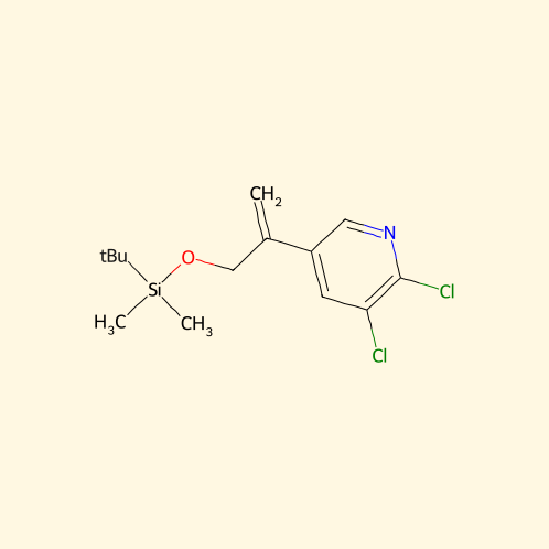 C=C(CO[Si](C)(C)C(C)(C)C)c1cnc(Cl)c(Cl)c1